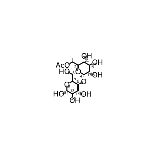 CC(=O)OCC1O[C@@H](O[C@@H]2C(CO)O[C@@H](O)C(O)[C@H]2O)[C@@H](O)C(O)[C@H]1O